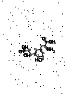 Cl.NC(Cc1cccc(CCP(=O)(O)O)c1)C(=O)O